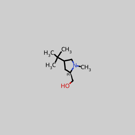 CN1CC(C(C)(C)C)C[C@@H]1CO